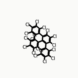 Clc1c(Cl)c(Cl)c(-c2c(Cl)c(Cl)c(Cl)c(-c3c(Cl)c(Cl)c(Cl)c(Cl)c3Cl)c2-c2c(Cl)c(Cl)c(Cl)c(Cl)c2Cl)c(Cl)c1Cl